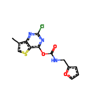 Cc1csc2c(OC(=O)NCc3ccco3)nc(Cl)nc12